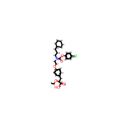 CCOC(Cc1ccc(OCCN(CCCC2CCCCC2)C(=O)Oc2ccc(Cl)cc2)cc1)C(=O)O